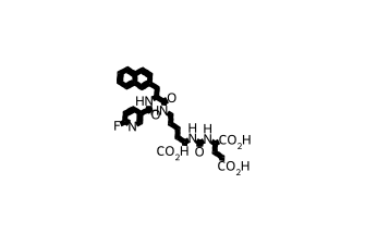 O=C(O)CCC(NC(=O)NC(CCCCNC(=O)C(Cc1ccc2ccccc2c1)NC(=O)c1ccc(F)nc1)C(=O)O)C(=O)O